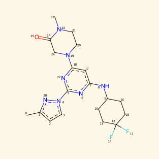 Cc1ccn(-c2nc(NC3CCC(F)(F)CC3)cc(N3CCN(C)C(=O)C3)n2)n1